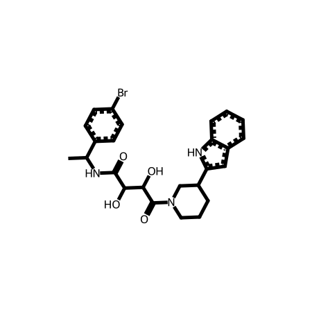 CC(NC(=O)C(O)C(O)C(=O)N1CCCC(c2cc3ccccc3[nH]2)C1)c1ccc(Br)cc1